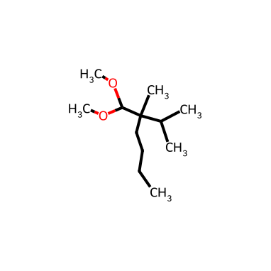 CCCCC(C)(C(C)C)C(OC)OC